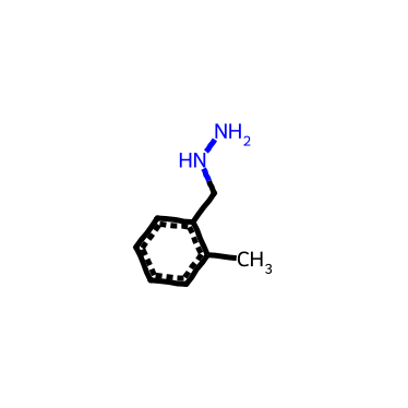 Cc1ccccc1CNN